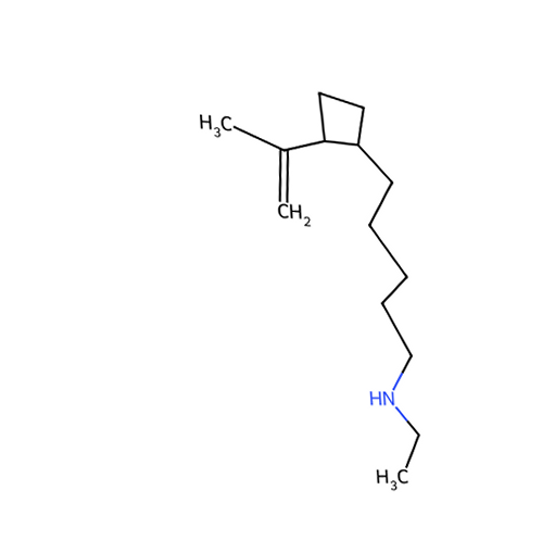 C=C(C)C1CCC1CCCCCNCC